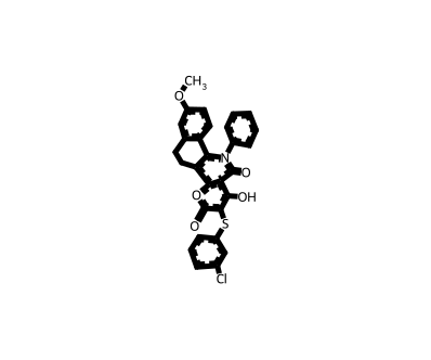 COc1ccc2c(c1)CCc1c-2n(-c2ccccc2)c(=O)c2c(O)c(Sc3cccc(Cl)c3)c(=O)oc12